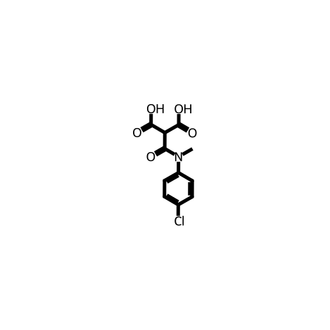 CN(C(=O)C(C(=O)O)C(=O)O)c1ccc(Cl)cc1